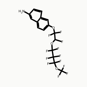 Nc1ccc2cc(OC(F)(F)C(F)OC(F)(F)C(F)(F)C(F)(F)OC(F)(F)F)ccc2c1